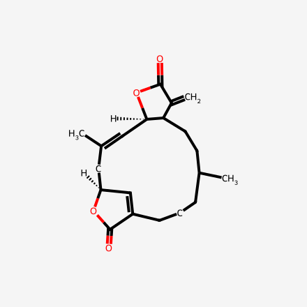 C=C1C(=O)O[C@@H]2/C=C(\C)C[C@H]3C=C(CCCC(C)CCC12)C(=O)O3